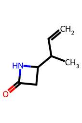 C=CC(C)C1CC(=O)N1